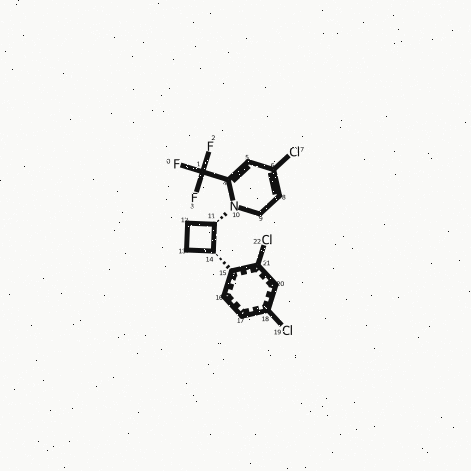 FC(F)(F)C1=CC(Cl)=CCN1[C@H]1CC[C@H]1c1ccc(Cl)cc1Cl